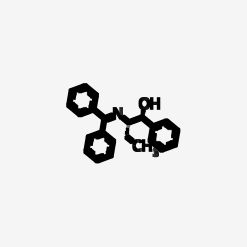 CC[C@H](N=C(c1ccccc1)c1ccccc1)[C@@H](O)c1ccccc1